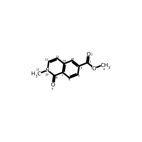 COC(=O)c1ccc2c(=O)n(C)ccc2c1